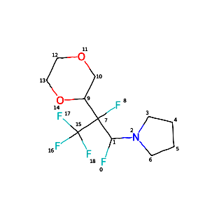 FC(N1CCCC1)C(F)(C1COCCO1)C(F)(F)F